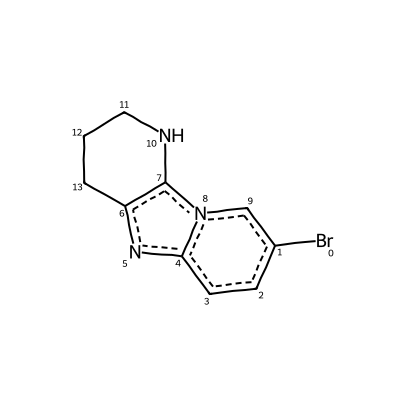 Brc1ccc2nc3c(n2c1)NCCC3